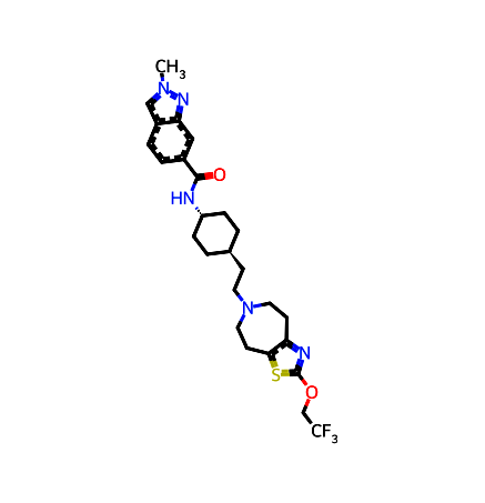 Cn1cc2ccc(C(=O)N[C@H]3CC[C@H](CCN4CCc5nc(OCC(F)(F)F)sc5CC4)CC3)cc2n1